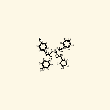 Fc1ccc(SC(C/C(=N/Sc2ccccc2)OCC2CCCC2)Sc2ccc(F)cc2)cc1